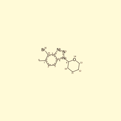 Cc1ccc2c(nnn2C2CCCCO2)c1Br